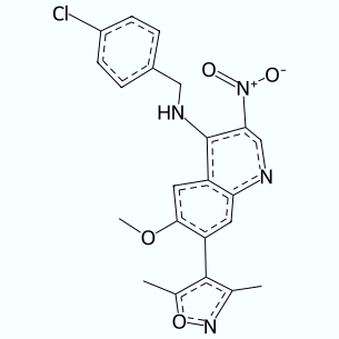 COc1cc2c(NCc3ccc(Cl)cc3)c([N+](=O)[O-])cnc2cc1-c1c(C)noc1C